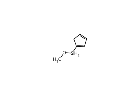 CO[SiH2]C1=CC=CC1